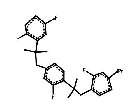 CC(C)c1ccc(CC(C)(C)c2ccc(CC(C)(C)c3cc(F)ccc3F)cc2F)c(F)c1